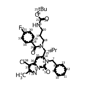 Cc1nn2c(=O)n(Cc3ccccc3)c([C@@H](C(C)C)N(CCCNC(=O)OC(C)(C)C)C(=O)c3ccc(F)cc3)cc2c1Cl